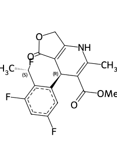 COC(=O)C1=C(C)NC2=C(C(=O)OC2)[C@@H]1c1cc(F)cc(F)c1[C@H](C)F